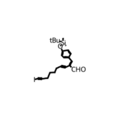 CC(C)(C)[Si](C)(C)Oc1ccc(/C=C(\C#CCCCCC#CI)C=O)cc1